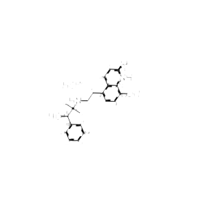 CC(C)(NCCc1ccc(O)c2[nH]c(=O)ccc12)C(O)c1ccccc1.Cl